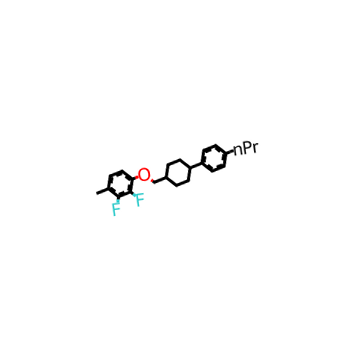 CCCc1ccc(C2CCC(COc3ccc(C)c(F)c3F)CC2)cc1